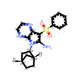 Nc1c(S(=O)(=O)c2ccccc2)c2nccnc2n1[C@@H]1C[C@H]2CC[C@@H]1C2